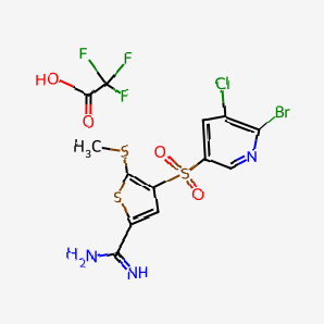 CSc1sc(C(=N)N)cc1S(=O)(=O)c1cnc(Br)c(Cl)c1.O=C(O)C(F)(F)F